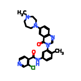 Cc1ccc(NC(=O)c2ccncc2Cl)cc1-n1cnc2ccc(N3CCCN(C)CC3)cc2c1=O